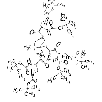 CC(CC12CN(C(=O)C(CNC(=O)OC(C)(C)C)NC(=O)OC(C)(C)C)CC1(C)CN(C(=O)C(CNC(=O)OC(C)(C)C)NC(=O)OC(C)(C)C)C2)C(=O)C(CNC(=O)OC(C)(C)C)NC(=O)OC(C)(C)C